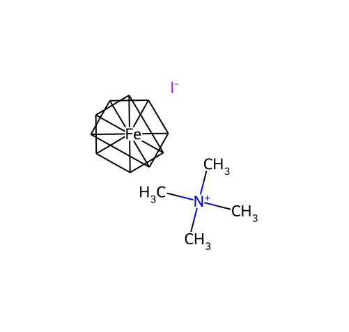 C[N+](C)(C)C.[CH]12[CH]3[CH]4[CH]5[CH]1[Fe]23451678[CH]2[CH]1[CH]6[CH]7[CH]28.[I-]